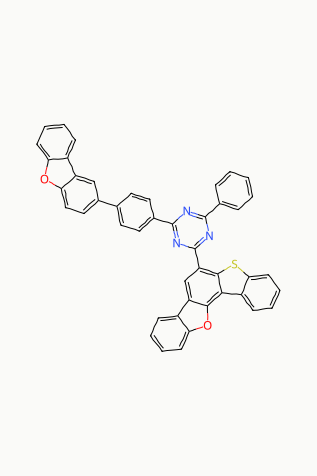 c1ccc(-c2nc(-c3ccc(-c4ccc5oc6ccccc6c5c4)cc3)nc(-c3cc4c5ccccc5oc4c4c3sc3ccccc34)n2)cc1